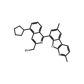 Cc1cc(-c2nc(CC(C)C)cc3c(C4CCCC4)cccc23)c2oc3nc(C)ccc3c2c1